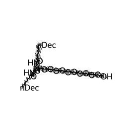 CCCCCCCCCCCCCCCCCC(=O)NCC[N+]([O-])(CCCOCCOCCOCCOCCOCCOCCOCCOCCOCCOCCO)CCNC(=O)CCCCCCCCCCCCCCCCC